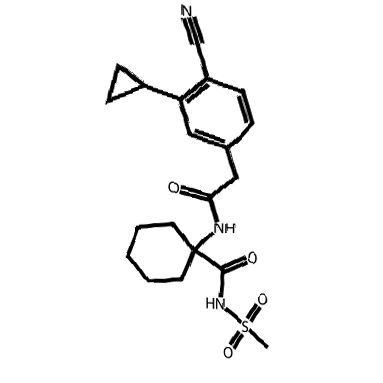 CS(=O)(=O)NC(=O)C1(NC(=O)Cc2ccc(C#N)c(C3CC3)c2)CCCCC1